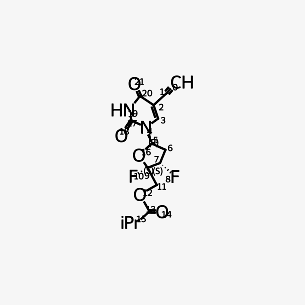 C#Cc1cn([C@H]2C[C@H](F)[C@@](F)(COC(=O)C(C)C)O2)c(=O)[nH]c1=O